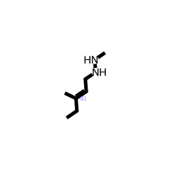 CC/C(C)=C/CNNC